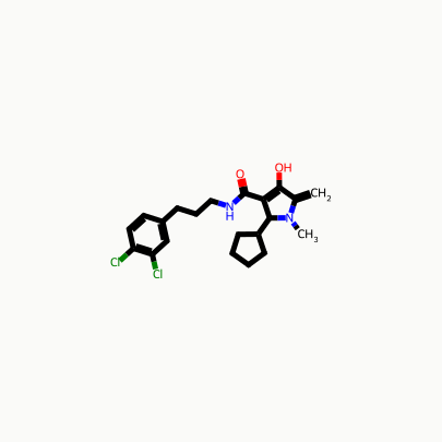 C=C1C(O)=C(C(=O)NCCCc2ccc(Cl)c(Cl)c2)C(C2CCCC2)N1C